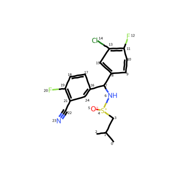 CC(C)C[S+]([O-])NC(c1ccc(F)c(Cl)c1)c1ccc(F)c(C#N)c1